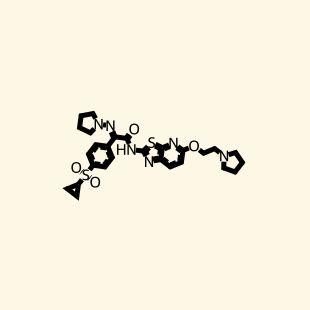 O=C(Nc1nc2ccc(OCCN3CCCC3)nc2s1)/C(=N/N1CCCC1)c1ccc(S(=O)(=O)C2CC2)cc1